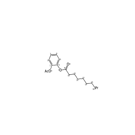 CC(=O)Oc1ccccc1OC(=O)CCCCCCC(C)C